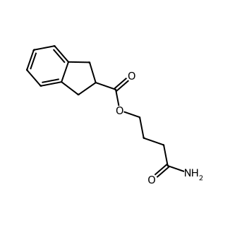 NC(=O)CCCOC(=O)C1Cc2ccccc2C1